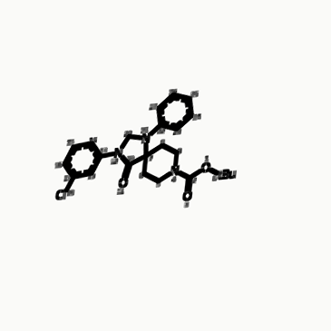 CC(C)(C)OC(=O)N1CCC2(CC1)C(=O)N(c1cccc(Cl)c1)CN2c1ccccc1